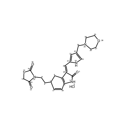 Cl.O=C1NC2=C(CC(CCN3C(=O)CSC3=O)C=C2)C1=Cc1cc(CN2CCOCC2)c[nH]1